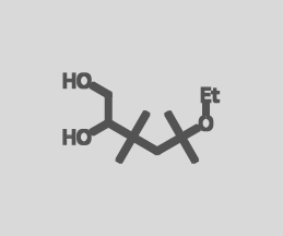 CCOC(C)(C)CC(C)(C)C(O)CO